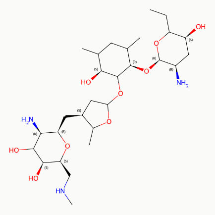 CCC1O[C@H](O[C@@H]2C(C)CC(C)[C@H](O)C2OC2C[C@H](C[C@H]3O[C@@H](CNC)[C@@H](O)C(O)[C@H]3N)C(C)O2)[C@H](N)C[C@@H]1O